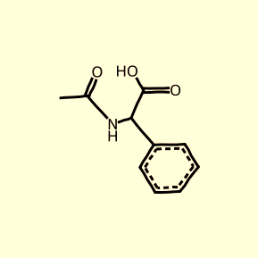 CC(=O)NC(C(=O)O)c1ccccc1